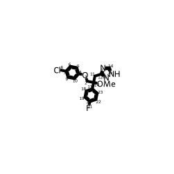 COC(COc1ccc(Cl)cc1)(Cc1nc[nH]n1)c1ccc(F)cc1